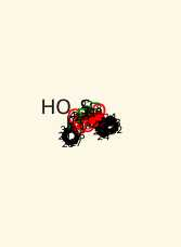 CCC1(OC(=O)COC(=O)C23CC4CC(C2)C(OC(=O)C(F)(F)S(=O)(=O)O)C(C4)C3)CCCCC1